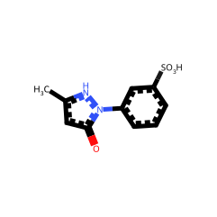 Cc1cc(=O)n(-c2cccc(S(=O)(=O)O)c2)[nH]1